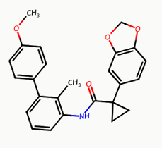 COc1ccc(-c2cccc(NC(=O)C3(c4ccc5c(c4)OCO5)CC3)c2C)cc1